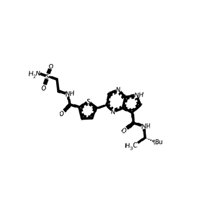 C[C@H](NC(=O)c1c[nH]c2ncc(-c3ccc(C(=O)NCCS(N)(=O)=O)s3)nc12)C(C)(C)C